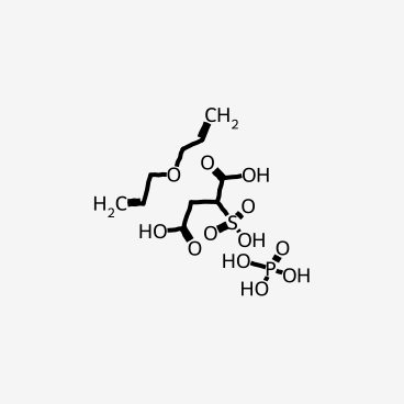 C=CCOCC=C.O=C(O)CC(C(=O)O)S(=O)(=O)O.O=P(O)(O)O